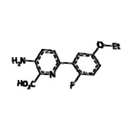 CCOc1ccc(F)c(-c2ccc(N)c(C(=O)O)n2)c1